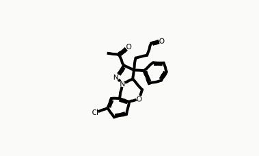 CC(=O)C1=NN2c3cc(Cl)ccc3OCC2C1(CCC=O)c1ccccc1